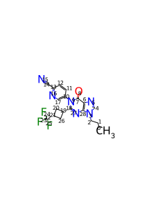 CCCn1cnc2c(=O)n(-c3ccc(C#N)nc3)c([C@H]3C[C@@H](C(F)(F)F)C3)nc21